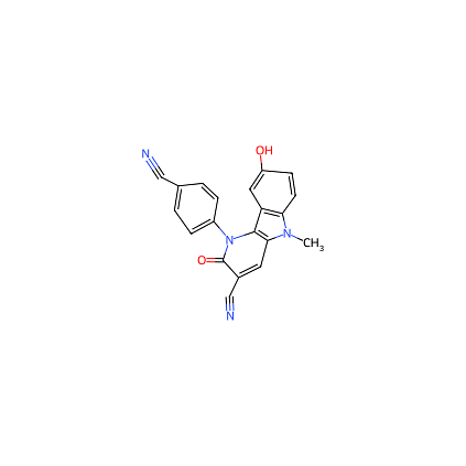 Cn1c2ccc(O)cc2c2c1cc(C#N)c(=O)n2-c1ccc(C#N)cc1